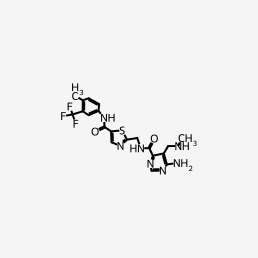 CNCc1c(N)ncnc1C(=O)NCc1ncc(C(=O)Nc2ccc(C)c(C(F)(F)F)c2)s1